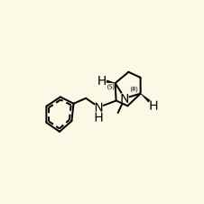 CN1[C@@H]2CC[C@H]1C(NCc1ccccc1)C2